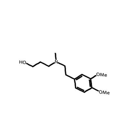 COc1ccc(CCN(C)CCCO)cc1OC